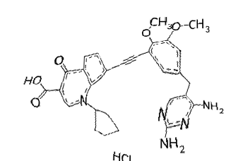 COc1cc(Cc2cnc(N)nc2N)cc(C#Cc2ccc3c(=O)c(C(=O)O)cn(C4CCCC4)c3c2)c1OC.Cl